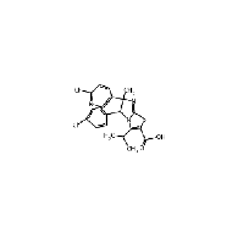 CC(C)C1=C(C(=O)O)SC2=NC(C)(c3ccc(Cl)nc3)C(c3ccc(Cl)cc3)N21